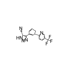 N#Cc1[nH]nnc1C1=CC(c2ccc(C(F)(F)F)cn2)CC=C1